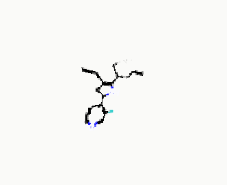 C=CCC(CNC)C1=C(C=C)CC(c2ccncc2F)N1